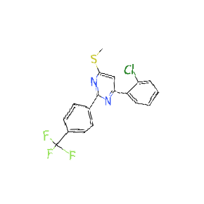 CSc1cc(-c2ccccc2Cl)nc(-c2ccc(C(F)(F)F)cc2)n1